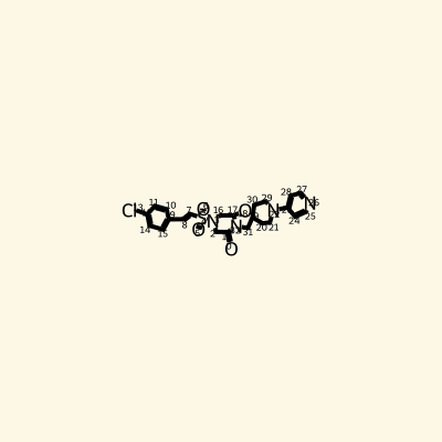 O=C1CN(S(=O)(=O)C=Cc2ccc(Cl)cc2)CC2OC3(CCN(c4ccncc4)CC3)CN12